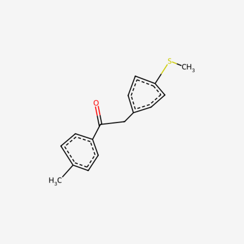 CSc1ccc(CC(=O)c2ccc(C)cc2)cc1